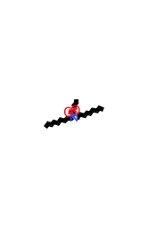 CCCCCCCCCN(CCCCCCCCC)C(=O)OCCC